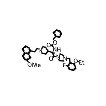 CCOc1cccc(F)c1CN1CCN(C(=O)[C@H](NC(=O)OCc2ccccc2)C2CCN(CCc3cccc4ccc(OC)cc34)CC2)CC1